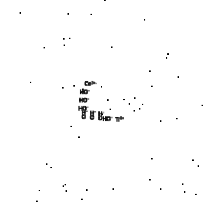 [Ce+3].[OH-].[OH-].[OH-].[OH-].[OH-].[OH-].[OH-].[Ti+4]